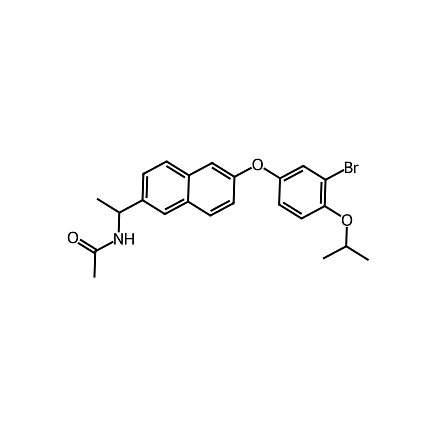 CC(=O)NC(C)c1ccc2cc(Oc3ccc(OC(C)C)c(Br)c3)ccc2c1